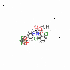 CCOC(=O)[C@H](Cc1ccc(OS(=O)(=O)C(F)(F)F)cc1)NC(=O)c1c(Cl)cccc1Cl